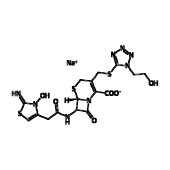 N=c1scc(CC(=O)NC2C(=O)N3C(C(=O)[O-])=C(CSc4nnnn4CCO)CS[C@@H]23)n1O.[Na+]